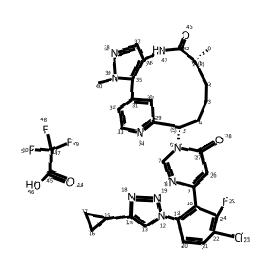 C[C@@H]1CCC[C@H](n2cnc(-c3c(-n4cc(C5CC5)nn4)ccc(Cl)c3F)cc2=O)c2cc(ccn2)-c2c(cnn2C)NC1=O.O=C(O)C(F)(F)F